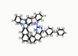 c1ccc(-c2ccc(-c3nc(-n4c5ccccc5c5cc6c7ccccc7n7c8cc9ccccc9cc8c(c54)c67)nc4c3ccc3ccccc34)cc2)cc1